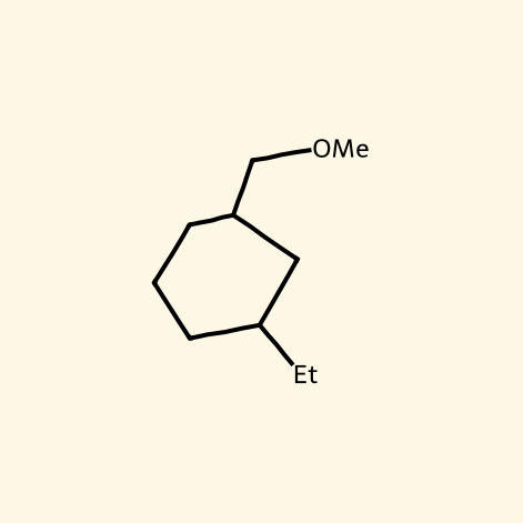 CCC1CCCC(COC)C1